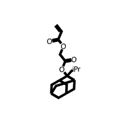 C=CC(=O)OCC(=O)OC1(C(C)C)C2CC3CC(C2)CC1C3